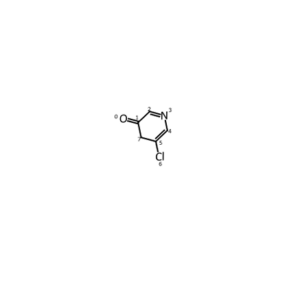 O=C1C=NC=C(Cl)C1